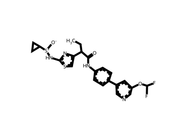 CCC(C(=O)Nc1ccc(-c2cncc(OC(F)F)c2)cc1)c1csc(N[S+]([O-])C2CC2)n1